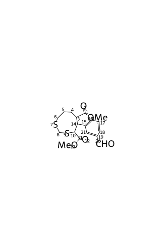 COC(=O)C1CCCSCSC(C(=O)OC)C1c1cccc(C=O)c1